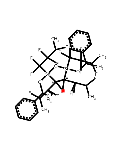 CC([O][Sn]([O][Sn]([O]C(C)c1ccccc1)([C](F)(F)C(F)(F)C(C)F)[C](F)(F)C(F)(F)C(C)F)([C](F)(F)C(F)(F)C(C)F)[C](F)(F)C(F)(F)C(C)F)c1ccccc1